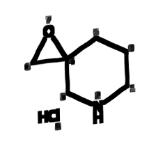 C1CNCC2(C1)CO2.Cl